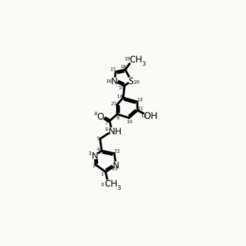 Cc1cnc(CNC(=O)c2cc(O)cc(-c3ncc(C)s3)c2)cn1